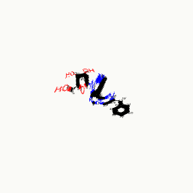 OC[C@H]1O[C@@H](n2ncc3c2N=CN2C[C@@H](Cc4ccccc4)N=C32)[C@H](O)[C@@H]1O